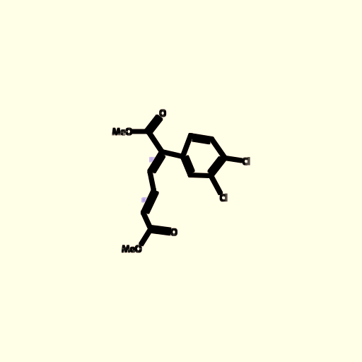 COC(=O)/C=C/C=C(/C(=O)OC)c1ccc(Cl)c(Cl)c1